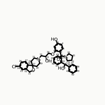 O=C(c1ccc(O)cc1OC[C@@H](O)CN1CCC2(CC1)OCc1cc(Cl)ccc12)N1CCC[C@@H]1C(O)(c1ccccc1)c1ccccc1